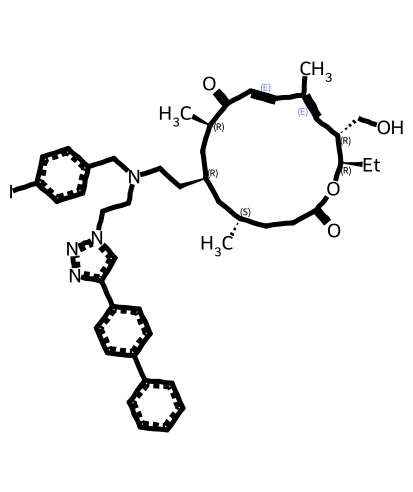 CC[C@H]1OC(=O)CC[C@H](C)C[C@@H](CCN(CCn2cc(-c3ccc(-c4ccccc4)cc3)nn2)Cc2ccc(I)cc2)C[C@@H](C)C(=O)/C=C/C(C)=C/[C@@H]1CO